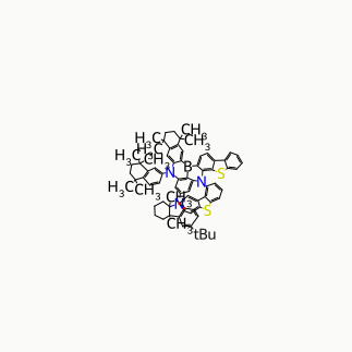 CC(C)(C)c1ccc2c(c1)C1(C)CCCCC1(C)N2c1cc2c3c(c1)N(c1cccc4sc5ccccc5c14)c1c(ccc4c1sc1ccccc14)B3c1cc3c(cc1N2c1ccc2c(c1)C(C)(C)CCC2(C)C)C(C)(C)CCC3(C)C